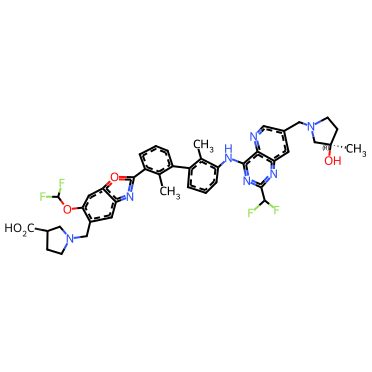 Cc1c(Nc2nc(C(F)F)nc3cc(CN4CC[C@@](C)(O)C4)cnc23)cccc1-c1cccc(-c2nc3cc(CN4CCC(C(=O)O)C4)c(OC(F)F)cc3o2)c1C